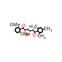 COc1cccc(OC)c1C(=O)C(CCCC(=O)c1c(C)cc(C)cc1C)P=O